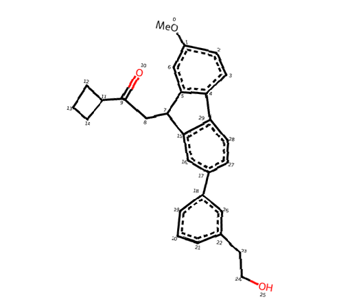 COc1ccc2c(c1)C(CC(=O)C1CCC1)c1cc(-c3cccc(CCO)c3)ccc1-2